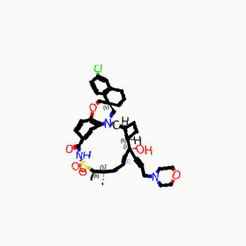 C[C@@H]1[C@@H](C)C/C=C/[C@](O)(C#CCN2CCOCC2)[C@@H]2CC[C@H]2CN2C[C@@]3(CCCc4cc(Cl)ccc43)COc3ccc(cc32)C(=O)NS1(=O)=O